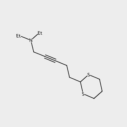 CCN(CC)CC#CCCC1SCCCS1